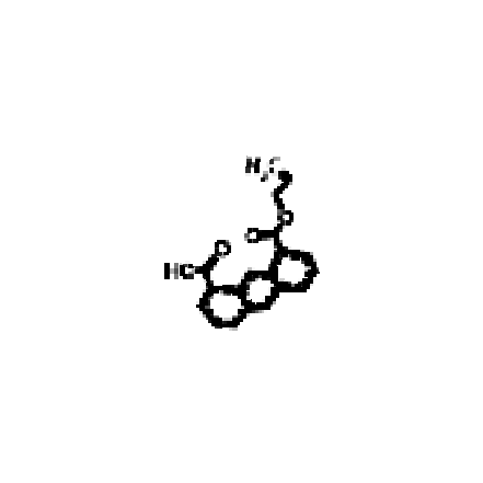 C=CCOC(=O)c1cccc2cc3cccc(C(=O)O)c3cc12